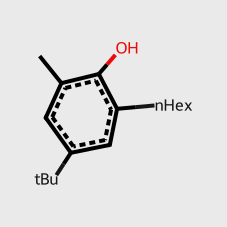 CCCCCCc1cc(C(C)(C)C)cc(C)c1O